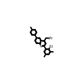 CCc1c(C)cc(C)cc1-c1cc(CC(C)C)c2cc(-c3ccc(C)cc3)ccc2n1